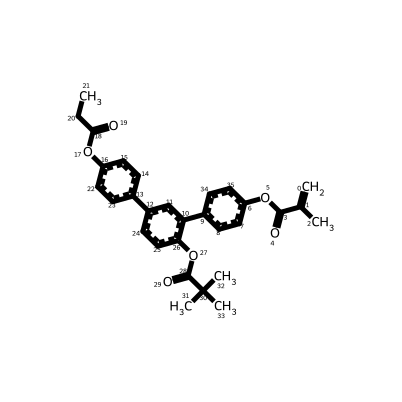 C=C(C)C(=O)Oc1ccc(-c2cc(-c3ccc(OC(=O)CC)cc3)ccc2OC(=O)C(C)(C)C)cc1